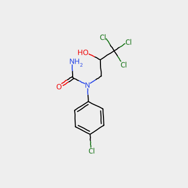 NC(=O)N(CC(O)C(Cl)(Cl)Cl)c1ccc(Cl)cc1